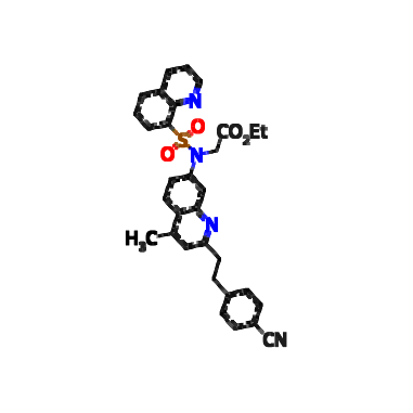 CCOC(=O)CN(c1ccc2c(C)cc(CCc3ccc(C#N)cc3)nc2c1)S(=O)(=O)c1cccc2cccnc12